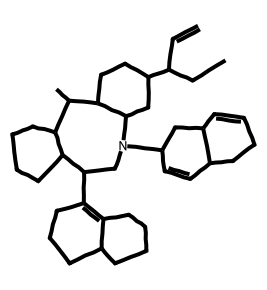 C=CC(CC)C1CCC2C(C)C3CCCCC3C(C3=C4CCCCC4CCC3)CN(C3C=CC4CCC=CC4C3)C2C1